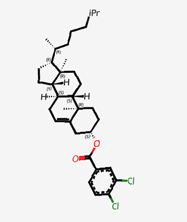 CC(C)CCC[C@@H](C)[C@H]1CC[C@H]2[C@@H]3CC=C4C[C@@H](OC(=O)c5ccc(Cl)c(Cl)c5)CC[C@]4(C)[C@H]3CC[C@]12C